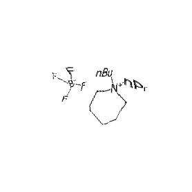 CCCC[N+]1(CCC)CCCCC1.F[B-](F)(F)F